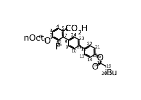 CCCCCCCCOc1ccc(C(=O)O)c(-c2ccc(-c3ccc(OC(=O)C[C@@H](C)CC)cc3)cc2)c1F